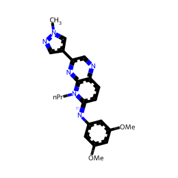 CCCn1/c(=N/c2cc(OC)cc(OC)c2)ccc2ncc(-c3cnn(C)c3)nc21